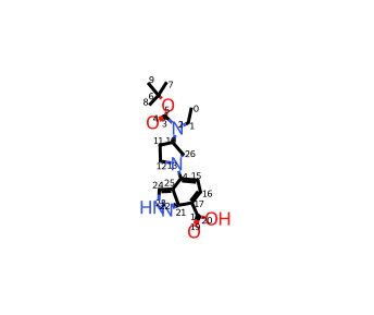 CCN(C(=O)OC(C)(C)C)C1CCN(c2ccc(C(=O)O)c3n[nH]cc23)C1